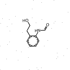 O=CNc1ccccc1CCO